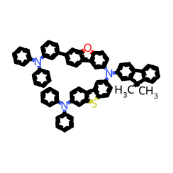 CC1(C)c2ccccc2-c2ccc(N(c3ccc4oc5cc(-c6cccc(N(c7ccccc7)c7ccccc7)c6)ccc5c4c3)c3ccc4sc5cc(N(c6ccccc6)c6ccccc6)ccc5c4c3)cc21